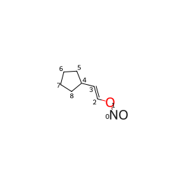 O=NOC=CC1CCCC1